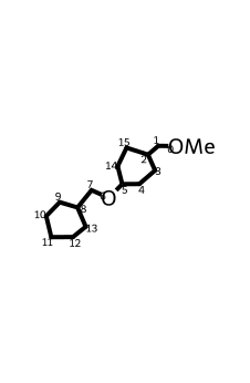 COCC1CCC(OCC2CCCCC2)CC1